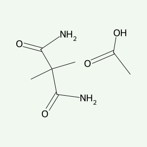 CC(=O)O.CC(C)(C(N)=O)C(N)=O